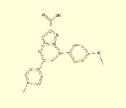 COc1ccc(-c2cc(-c3ccc(F)cc3)nc3cc(C(=O)O)nn23)cc1